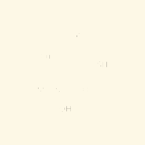 CC(S)CS(=O)(=O)O.[Cu]